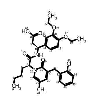 CCCC[C@@H](C(=O)N[C@@H](CC(=O)O)c1ccc(OCC)c(OCC)c1)n1cc(C)cc(Cc2ccccc2Cl)c1=O